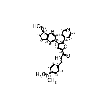 CN(C)c1ccc(CNC(=O)c2cc(-c3ccc4c(c3)CCC4=NO)c(-c3ccncc3)o2)cc1